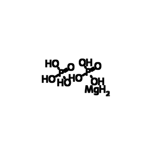 O=P(O)(O)O.O=P(O)(O)O.[MgH2]